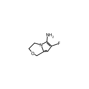 Nc1c(F)cc2n1CCOC2